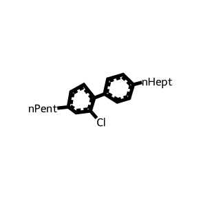 CCCCCCCc1ccc(-c2ccc(CCCCC)cc2Cl)cc1